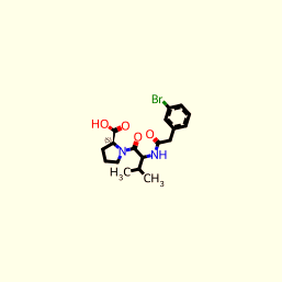 CC(C)C(NC(=O)Cc1cccc(Br)c1)C(=O)N1CCC[C@H]1C(=O)O